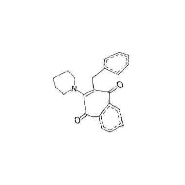 O=C1C(Cc2ccccc2)=C(N2CCCCC2)C(=O)c2ccccc21